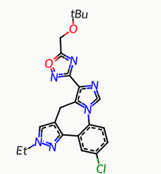 CCn1cc2c(n1)-c1cc(Cl)ccc1-n1cnc(-c3noc(COC(C)(C)C)n3)c1C2